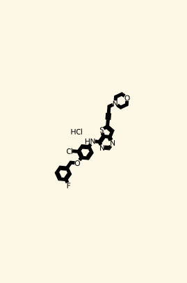 Cl.Fc1cccc(COc2ccc(Nc3ncnc4cc(C#CCN5CCOCC5)sc34)cc2Cl)c1